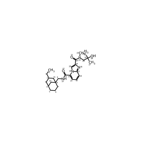 CCC1CC2CCCC(CNC(=O)c3cccc4nc(C(=O)N(C)CC(C)(C)O)cn34)(C1)C2